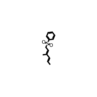 C/C=C/C(C)=C/CS(=O)(=O)c1ccccc1